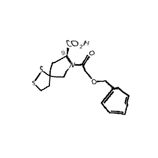 O=C(O)[C@@H]1CC2(CCSS2)CN1C(=O)OCc1ccccc1